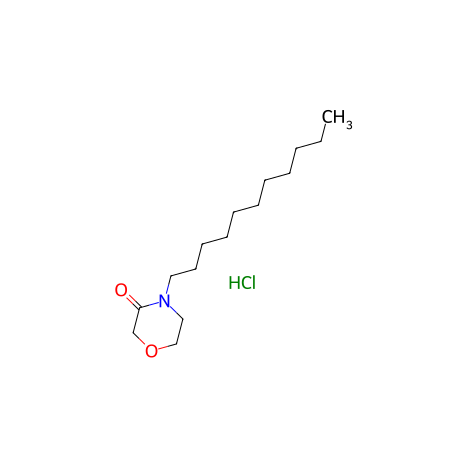 CCCCCCCCCCCN1CCOCC1=O.Cl